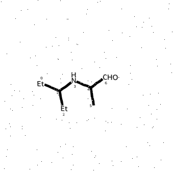 CCC(CC)NC(C)[C]=O